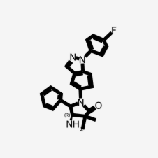 CC1(C)C(=O)N(c2ccc3c(cnn3-c3ccc(F)cc3)c2)C(c2ccccc2)[C@@H]1N